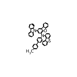 Cc1ccc(-c2ccc(N(c3cc(-n4c5c#cccc5c5ccccc54)cc4c3oc3ccccc34)c3cccc4sc5ccccc5c34)cc2)cc1